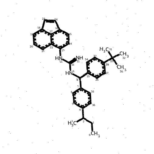 CCC(C)c1ccc(C(NC(=N)Nc2ccc3c4c(cccc24)C=C3)c2ccc(C(C)(C)C)cc2)cc1